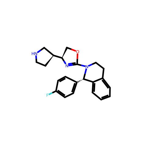 Fc1ccc([C@H]2c3ccccc3CCN2C2=N[C@@H]([C@H]3CCNC3)CO2)cc1